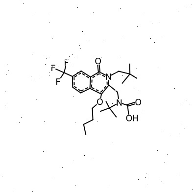 CCCCOc1c(CN(C(=O)O)C(C)(C)C)n(CC(C)(C)C)c(=O)c2cc(C(F)(F)F)ccc12